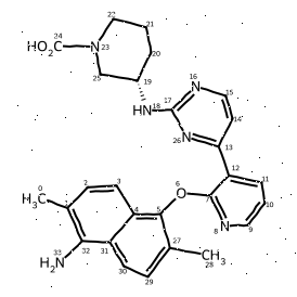 Cc1ccc2c(Oc3ncccc3-c3ccnc(N[C@H]4CCCN(C(=O)O)C4)n3)c(C)ccc2c1N